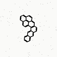 c1ccc2cc3c(ccc4cc5ccc6cccc7ccc(c43)c5c67)cc2c1